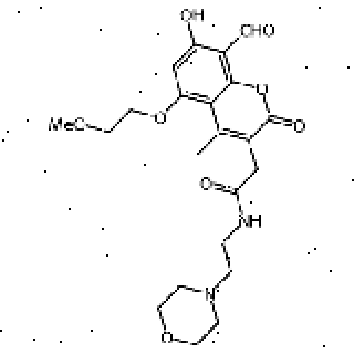 COCCOc1cc(O)c(C=O)c2oc(=O)c(CC(=O)NCCN3CCOCC3)c(C)c12